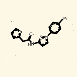 CC(C)c1ccc(-n2ccc(NC(=O)Cc3cccs3)n2)cc1